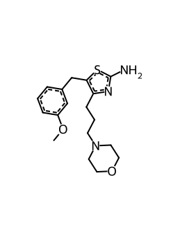 COc1cccc(Cc2sc(N)nc2CCCN2CCOCC2)c1